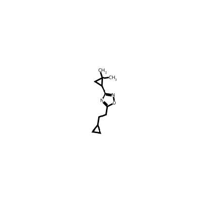 CC1(C)CC1c1noc(CCC2CC2)n1